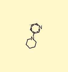 [c]1cncc(N2CCCCC2)c1